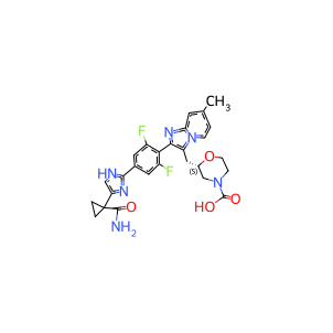 Cc1ccn2c(C[C@H]3CN(C(=O)O)CCO3)c(-c3c(F)cc(-c4nc(C5(C(N)=O)CC5)c[nH]4)cc3F)nc2c1